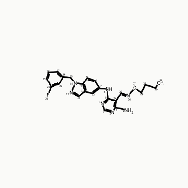 Nc1ncnc(Nc2ccc3c(cnn3Cc3cccc(F)c3)c2)c1/C=N/OCCCO